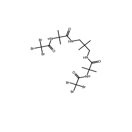 CC(C)(CNC(=O)C(C)(C)NC(=O)C(Br)(Br)Br)CNC(=O)C(C)(C)NC(=O)C(Br)(Br)Br